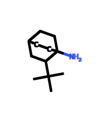 CC(C)(C)C1CC2CCC1(N)CC2